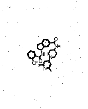 Cc1cc(N2CCC(N(C)C(=O)c3ccc4c(c3)C(NC(=O)c3ccccc3C(F)(F)F)CC4)CC2)cc(C)n1